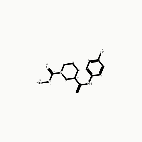 C=C(Nc1ccc(Br)cc1)C1CCCN(C(=O)OC(C)(C)C)C1